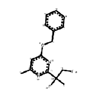 Cc1cc(OCc2ccccc2)nc(C(C)(F)CF)n1